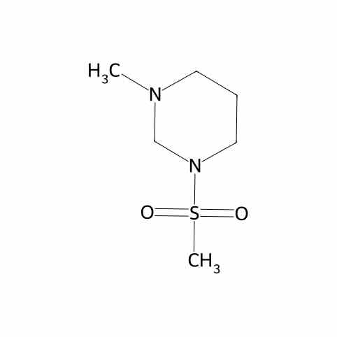 CN1CCCN(S(C)(=O)=O)C1